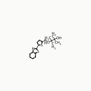 CC(C)(O)C(C)(C)OBc1ccc(-c2nc3ccccc3s2)s1